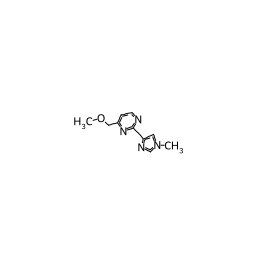 COCc1ccnc(-c2cn(C)cn2)n1